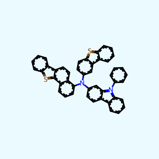 c1ccc(-n2c3ccccc3c3ccc(N(c4ccc5sc6ccccc6c5c4)c4cccc5c4ccc4c6ccccc6sc54)cc32)cc1